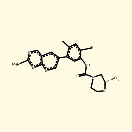 CNc1ncc2cc(-c3cc(NC(=O)N4CCO[C@@H](C(F)(F)F)C4)c(F)cc3C)cnc2n1